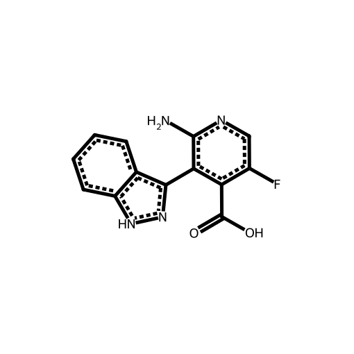 Nc1ncc(F)c(C(=O)O)c1-c1n[nH]c2ccccc12